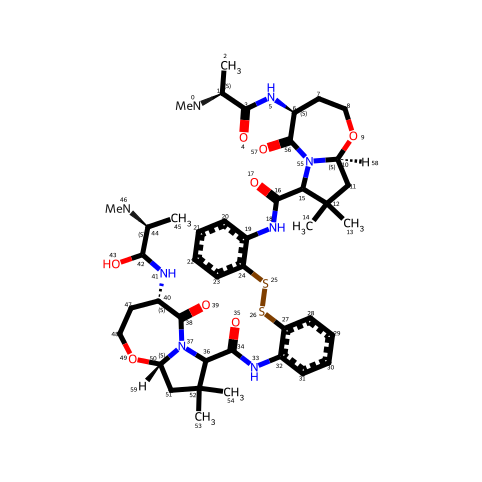 CN[C@@H](C)C(=O)N[C@H]1CCO[C@H]2CC(C)(C)C(C(=O)Nc3ccccc3SSc3ccccc3NC(=O)C3N4C(=O)[C@@H](NC(O)[C@H](C)NC)CCO[C@H]4CC3(C)C)N2C1=O